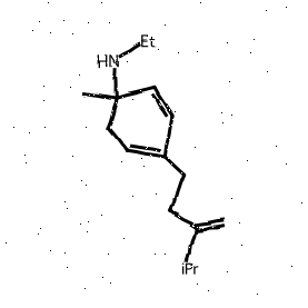 C=C(CCC1=CCC(C)(NCC)C=C1)C(C)C